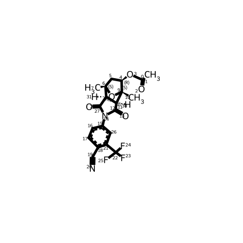 CC(=O)O[C@@H]1C[C@]2(C)O[C@@]1(C)[C@H]1C(=O)N(c3ccc(C#N)c(C(F)(F)F)c3)C(=O)[C@H]12